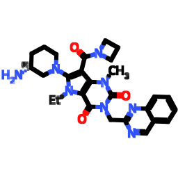 CCn1c(N2CCC[C@@H](N)C2)c(C(=O)N2CCC2)c2c1c(=O)n(Cc1ncc3ccccc3n1)c(=O)n2C